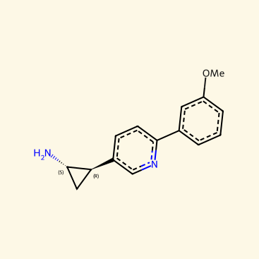 COc1cccc(-c2ccc([C@H]3C[C@@H]3N)cn2)c1